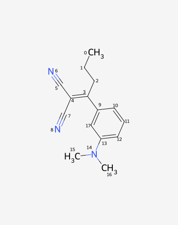 CCCC(=C(C#N)C#N)c1cccc(N(C)C)c1